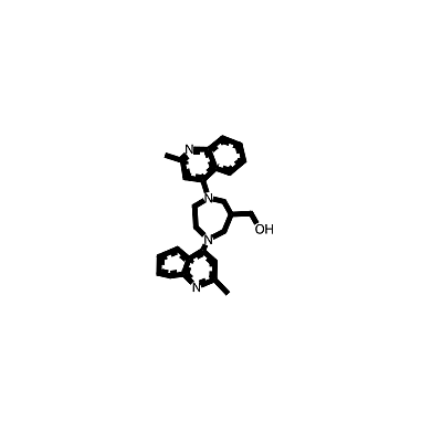 Cc1cc(N2CCN(c3cc(C)nc4ccccc34)CC(CO)C2)c2ccccc2n1